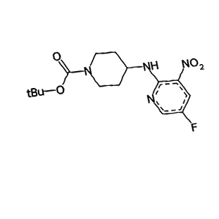 CC(C)(C)OC(=O)N1CCC(Nc2ncc(F)cc2[N+](=O)[O-])CC1